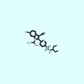 CC(C)n1c(-c2ccc(S(=O)(=O)NC(CF)CF)cn2)c(C#N)c2ccc(Cl)cc21